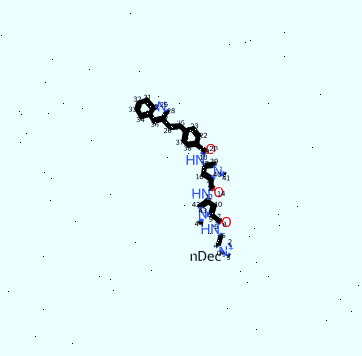 CCCCCCCCCC[N+](C)(C)CCNC(=O)c1cc(NC(=O)c2cc(NC(=O)c3ccc(/C=C/c4cnc5ccccc5c4)cc3)cn2C)cn1C